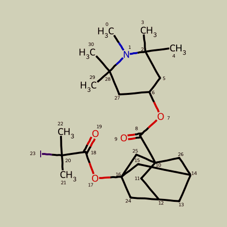 CN1C(C)(C)CC(OC(=O)C23CC4CC(CC(OC(=O)C(C)(C)I)(C4)C2)C3)CC1(C)C